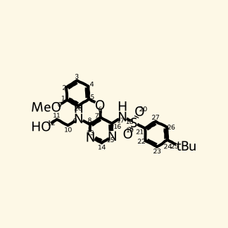 COc1cccc(Oc2c(NCCO)ncnc2NS(=O)(=O)c2ccc(C(C)(C)C)cc2)c1